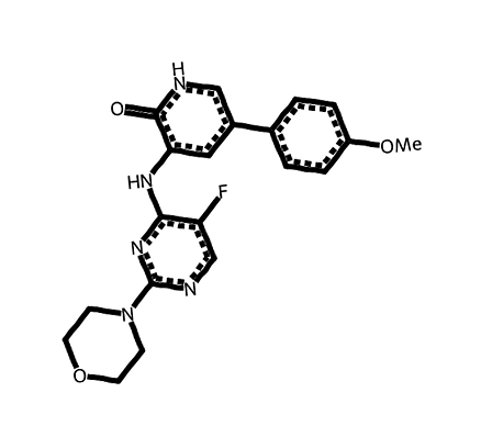 COc1ccc(-c2c[nH]c(=O)c(Nc3nc(N4CCOCC4)ncc3F)c2)cc1